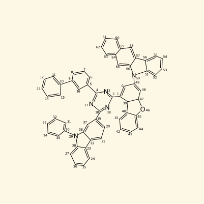 C1=C(c2nc(-c3cccc(-c4ccccc4)c3)nc(-c3ccc4c5ccccc5n(-c5ccccc5)c4c3)n2)C2c3ccccc3OC2C=C1n1c2ccccc2c2cc3ccccc3cc21